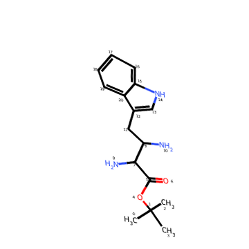 CC(C)(C)OC(=O)C(N)C(N)Cc1c[nH]c2ccccc12